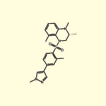 Cc1cc(-c2cnn(C)c2)ccc1S(=O)(=O)N1C[C@@H](C)N(C)c2cccc(C)c21